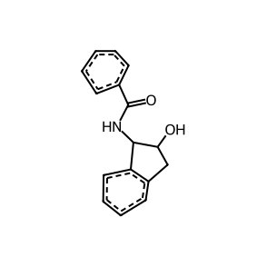 O=C(NC1c2ccccc2CC1O)c1ccccc1